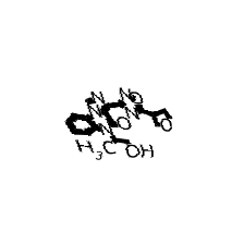 CC(CO)n1c(=O)c2c(-c3noc(C4CCOC4)n3)ncn2c2ccccc21